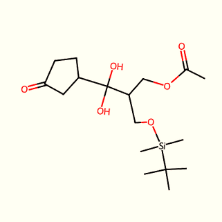 CC(=O)OCC(CO[Si](C)(C)C(C)(C)C)C(O)(O)C1CCC(=O)C1